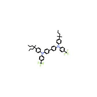 CCCC(C)(C)c1ccc(N(c2ccc(-c3ccc(N(c4ccc(C(F)(F)F)cc4)c4ccc(C(C)(CCC)CCC)cc4)cc3)cc2)c2ccc(C(F)(F)F)cc2)cc1